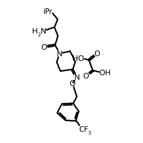 CC(C)CC(N)CC(=O)N1CCC(=NOCc2cccc(C(F)(F)F)c2)CC1.O=C(O)C(=O)O